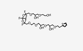 OCCOCC(O)COCC(F)(F)OC(F)(F)OC(F)(F)COCCOCC(O)COCC(O)COCCc1cccs1